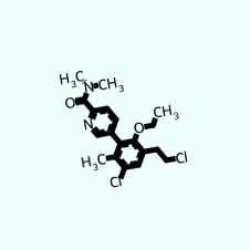 CCOc1c(CCCl)cc(Cl)c(C)c1-c1ccc(C(=O)N(C)C)nc1